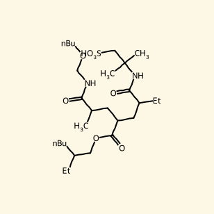 CCCCOCNC(=O)C(C)CC(CC(CC)C(=O)NC(C)(C)CS(=O)(=O)O)C(=O)OCC(CC)CCCC